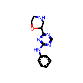 c1ccc(Nc2ncnc(C3CNCCO3)n2)cc1